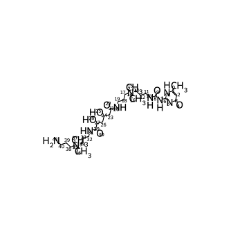 Cc1cc(=O)nc(NC(=O)NCCC[N+](C)(C)CCCNC(=O)C[C@@H](O)C[C@H](O)C(=O)NCCC[N+](C)(C)CCCN)[nH]1